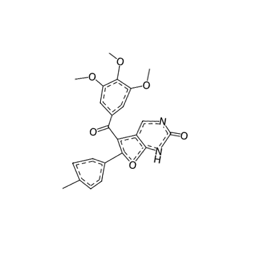 COc1cc(C(=O)c2c(-c3ccc(C)cc3)oc3[nH]c(=O)ncc23)cc(OC)c1OC